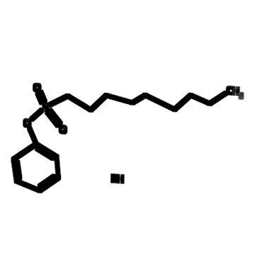 CCCCCCCCCS(=O)(=O)Oc1ccccc1.[KH]